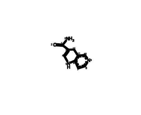 NC(=O)C1=CNc2ccncc2C1